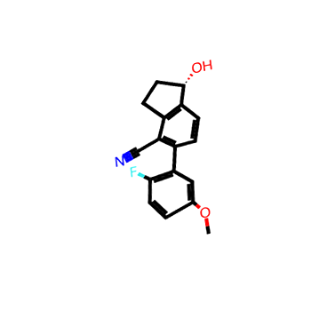 COc1ccc(F)c(-c2ccc3c(c2C#N)CC[C@@H]3O)c1